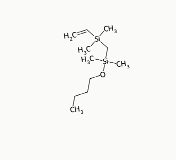 C=C[Si](C)(C)C[Si](C)(C)OCCCC